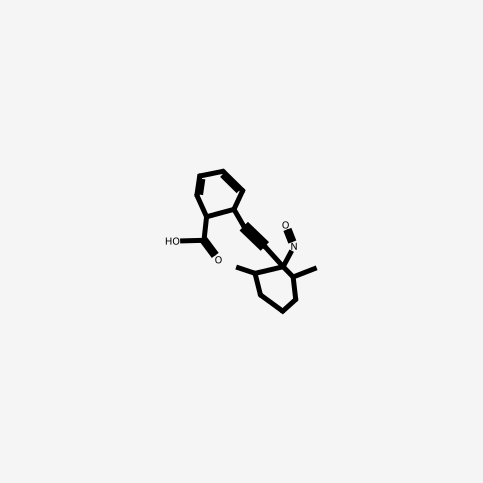 CC1CCCC(C)C1(C#CC1C=CC=CC1C(=O)O)N=O